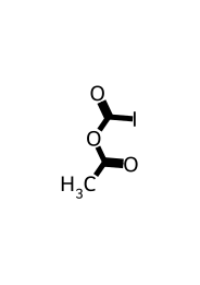 CC(=O)OC(=O)I